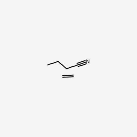 C=C.CCCC#N